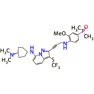 COc1cc(P(C)(C)=O)ccc1NCC#Cc1nn2c(N[C@H]3CC[C@H](N(C)C)CC3)cccc2c1SC(F)(F)F